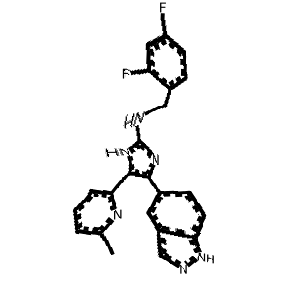 Cc1cccc(-c2[nH]c(NCc3ccc(F)cc3F)nc2-c2ccc3[nH]ncc3c2)n1